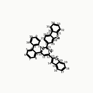 c1ccc(-c2ccccc2-c2cc(-c3cc4ccccc4s3)nc(-c3ccc4c(c3)sc3ccccc34)n2)cc1